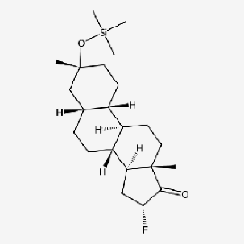 C[C@@]1(O[Si](C)(C)C)CC[C@H]2[C@H](CC[C@@H]3[C@@H]2CC[C@]2(C)C(=O)[C@H](F)C[C@@H]32)C1